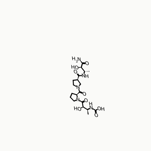 C[C@H](NC(=O)[C@@H]1CCN(C(=O)[C@@H]2CCCN2C(=O)[C@H](O)[C@H](C)NC(=O)O)C1)[C@@H](O)C(N)=O